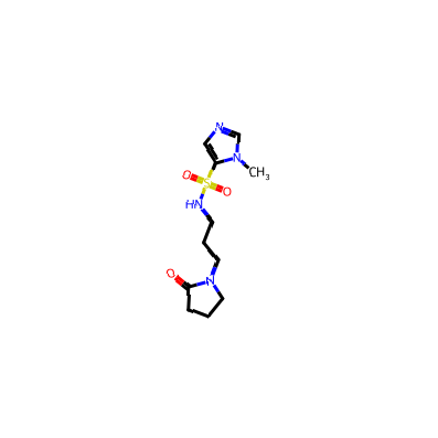 Cn1cncc1S(=O)(=O)NCCCN1CCCC1=O